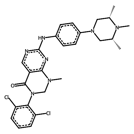 C[C@@H]1CN(c2ccc(Nc3ncc4c(n3)N(C)CN(c3c(Cl)cccc3Cl)C4=O)cc2)C[C@H](C)N1C